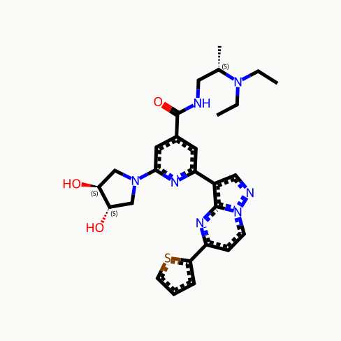 CCN(CC)[C@@H](C)CNC(=O)c1cc(-c2cnn3ccc(-c4cccs4)nc23)nc(N2C[C@H](O)[C@@H](O)C2)c1